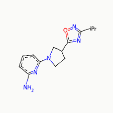 CC(C)c1noc(C2CCN(c3cccc(N)n3)C2)n1